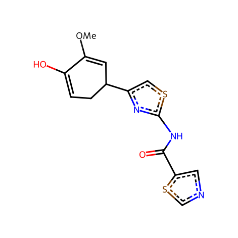 COC1=CC(c2csc(NC(=O)c3cncs3)n2)CC=C1O